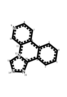 c1ccc2c(c1)c1ccncc1n1cnnc21